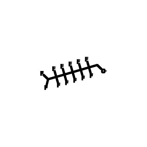 [O]CC(F)(F)C(F)(F)C(F)(F)C(F)(F)C(F)(F)C(F)F